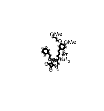 COCCCOc1cc(C[C@@H](C[C@H](N)[C@@H](O)CN(C)c2c(NCCc3ccccc3)c(=O)c2=O)C(C)C)ccc1OC